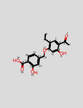 CCc1cc(C(C)=O)c(O)cc1OCc1ccc(C(=O)O)c(O)c1